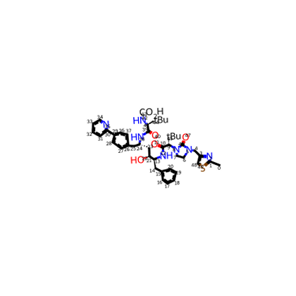 Cc1nc(CN2CCN([C@H](C(=O)N[C@@H](Cc3ccccc3)[C@@H](O)C[C@H](Cc3ccc(-c4ccccn4)cc3)NC(=O)[C@@H](NC(=O)O)C(C)(C)C)C(C)(C)C)C2=O)cs1